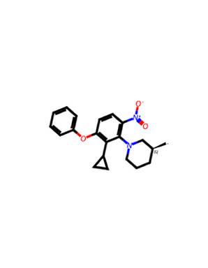 [CH2][C@H]1CCCN(c2c([N+](=O)[O-])ccc(Oc3ccccc3)c2C2CC2)C1